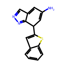 NC1=CC(c2cc3ccccc3s2)C2=NN=CC2=C1